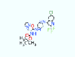 CC(C)(C)OC(=O)N[C@@H](Cn1cccn1)C(=O)NC1CCC(Nc2cc(C(F)(F)F)nc3ccc(Cl)cc23)CC1